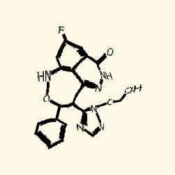 O=c1[nH]nc2c3c(cc(F)cc13)NOC(c1ccccc1)C2c1ncnn1CCO